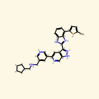 CC(=O)c1ccc(-c2cccc3[nH]c(-c4n[nH]c5cnc(-c6cncc(CNCC7CCCC7)c6)cc45)nc23)s1